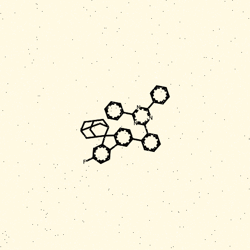 Fc1ccc2c(c1)C1(c3ccc(-c4ccccc4-c4nc(-c5ccccc5)nc(-c5ccccc5)n4)cc3-2)C2CC3CC(C2)CC1C3